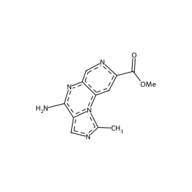 COC(=O)c1cc2c(cn1)nc(N)c1cnc(C)n12